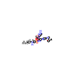 COC1(C)CCC(CNc2ccc(S(=O)(=O)NC(=O)c3ccc(N4CCC5(CC4)CC(N4CCC[C@H]4c4ccccc4C4CC4)C5)cc3N3c4cc5cc[nH]c5nc4O[C@H]4COC[C@@H]43)cc2[N+](=O)[O-])CC1